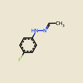 C/C=N/Nc1ccc(F)cc1